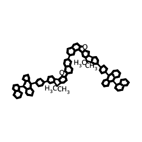 CC1(C)c2cc(-c3ccc(-c4c5ccccc5c(-c5cccc6ccccc56)c5ccccc45)cc3)ccc2-c2cc3oc4ccc5ccc(-c6ccc7c(ccc8c9ccc%10c(c9oc78)-c7ccc(-c8ccc(-c9c%11ccccc%11c(-c%11cccc%12ccccc%11%12)c%11ccccc9%11)cc8)cc7C%10(C)C)c6)cc5c4c3cc21